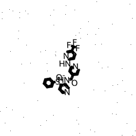 O=C(Nc1cnccc1[S+]([O-])c1ccccc1)c1ccnc(Nc2ccc(C(F)(F)F)cn2)c1